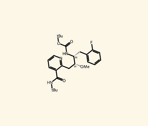 CO[C@H](Cc1ncccc1C(=O)NC(C)(C)C)[C@@H](Cc1ccccc1F)NC(=O)OC(C)(C)C